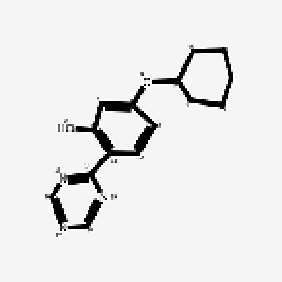 Oc1cc(OC2CCCCC2)ccc1-c1ncncn1